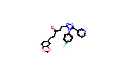 O=C(CCc1ccc2c(c1)OCO2)CCc1nnc(-c2cccnc2)n1-c1ccc(F)cc1